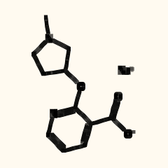 CN1CCC(Oc2ncccc2C(=O)[O-])C1.[Na+]